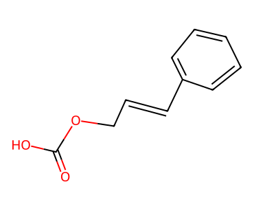 O=C(O)OC/C=C/c1ccccc1